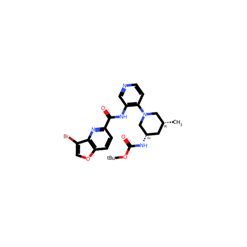 C[C@@H]1C[C@H](NC(=O)OC(C)(C)C)CN(c2ccncc2NC(=O)c2ccc3occ(Br)c3n2)C1